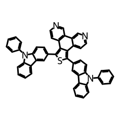 c1ccc(-n2c3ccccc3c3cc(-c4sc(-c5ccc6c(c5)c5ccccc5n6-c5ccccc5)c5c6ccncc6c6cnccc6c45)ccc32)cc1